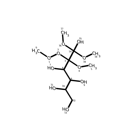 COOC(OC)(C(O)C(O)C(O)CO)C(O)(OC)OC